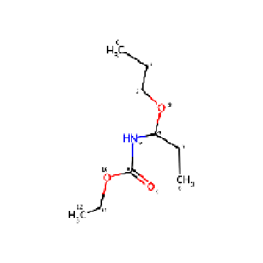 CCCOC(CC)NC(=O)OCC